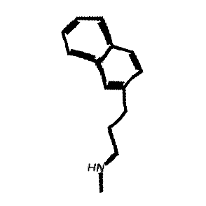 CNCCCc1ccc2ccccc2c1